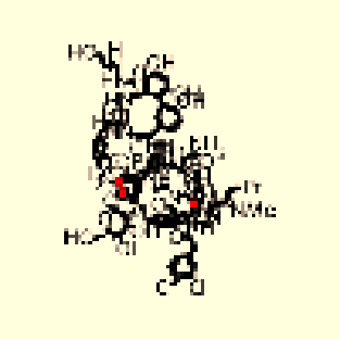 CN[C@H](CC(C)C)C(=O)N[C@H]1C(=O)N[C@@H](CC(N)=O)C(=O)N[C@H]2C(=O)N[C@H]3C(=O)N[C@H](C(=O)N[C@@H](C(=O)NNCCO)c4cc(O)cc(O)c4-c4cc3ccc4O)[C@H](O)c3ccc(c(Cl)c3)Oc3cc2cc(c3O[C@@H]2O[C@H](CO)[C@@H](O)[C@H](O)[C@H]2O[C@H]2C[C@](C)(NCCn3ccc(NC(=O)Cc4ccc(Cl)c(Cl)c4)nc3=O)[C@H](O)[C@H](C)O2)Oc2ccc(cc2Cl)[C@H]1O